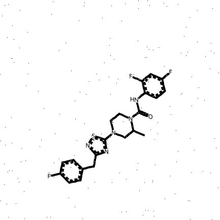 CC1CN(c2nc(Cc3ccc(F)cc3)ns2)CCN1C(=O)Nc1ccc(F)cc1F